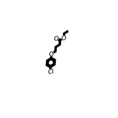 CCOC(=O)CCCOc1ccc(Cl)cc1